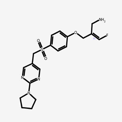 NC/C(=C\F)COc1ccc(S(=O)(=O)Cc2cnc(N3CCCC3)nc2)cc1